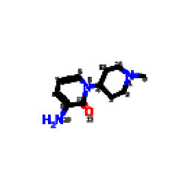 CN1CCC(n2cccc(N)c2=O)CC1